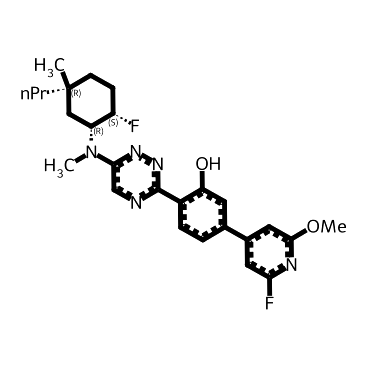 CCC[C@]1(C)CC[C@H](F)[C@H](N(C)c2cnc(-c3ccc(-c4cc(F)nc(OC)c4)cc3O)nn2)C1